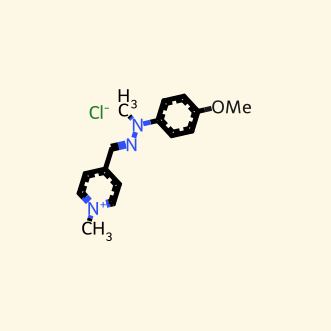 COc1ccc(N(C)/N=C/c2cc[n+](C)cc2)cc1.[Cl-]